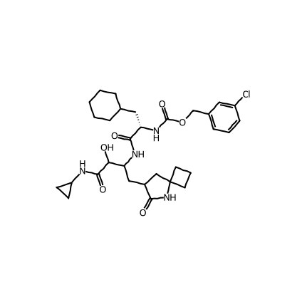 O=C(N[C@@H](CC1CCCCC1)C(=O)NC(CC1CC2(CCC2)NC1=O)C(O)C(=O)NC1CC1)OCc1cccc(Cl)c1